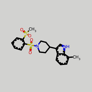 Cc1cccc2c(C3CCN(S(=O)(=O)c4ccccc4S(C)(=O)=O)CC3)c[nH]c12